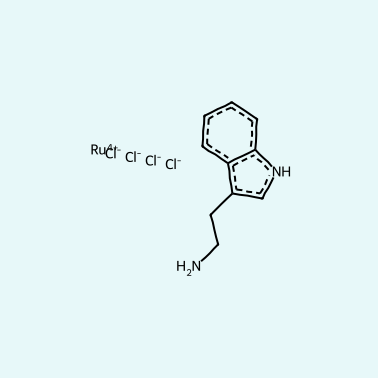 NCCc1c[nH]c2ccccc12.[Cl-].[Cl-].[Cl-].[Cl-].[Ru+4]